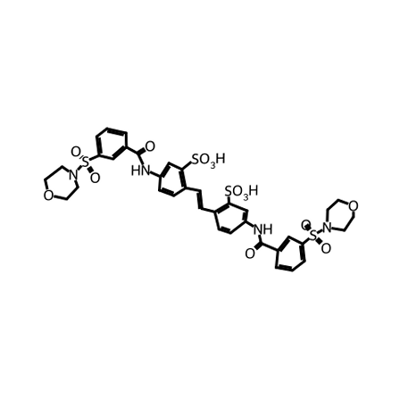 O=C(Nc1ccc(C=Cc2ccc(NC(=O)c3cccc(S(=O)(=O)N4CCOCC4)c3)cc2S(=O)(=O)O)c(S(=O)(=O)O)c1)c1cccc(S(=O)(=O)N2CCOCC2)c1